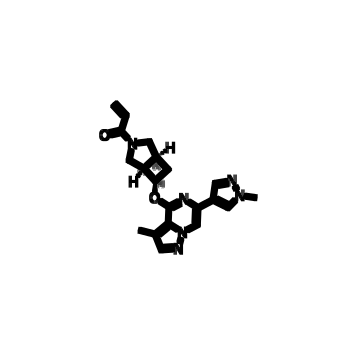 C=CC(=O)N1C[C@H]2C[C@@H](Oc3nc(-c4cnn(C)c4)cn4ncc(C)c34)[C@H]2C1